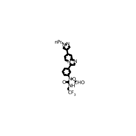 CCCn1cc(-c2ccn3c(-c4cccc(N(OC=O)C(=O)NCC(F)(F)F)c4)cnc3c2)cn1